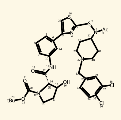 CC(=O)N(Sc1nc(-c2cccc(NC(=O)[C@@H]3C(O)CCN3C(=O)OC(C)(C)C)c2)cs1)C1CCN(Cc2ccc(Cl)c(Cl)c2)CC1